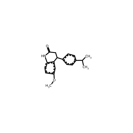 COc1ccc2c(c1)C(c1ccc(C(C)C)cc1)CC(=O)N2